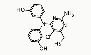 Nc1nc(CS)c(Cl)c(N(c2cccc(O)c2)c2cccc(O)c2)n1